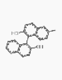 Cc1ccc2c(-c3c(O)ccc4ccccc34)c(O)ccc2c1